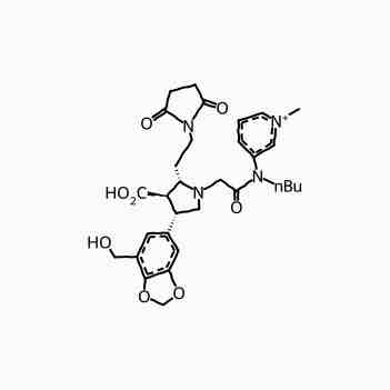 CCCCN(C(=O)CN1C[C@H](c2cc(CO)c3c(c2)OCO3)[C@@H](C(=O)O)[C@@H]1CCN1C(=O)CCC1=O)c1ccc[n+](C)c1